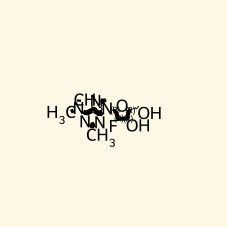 Cc1nc(N(C)C)c2ncn([C@@H]3O[C@H](CO)[C@@H](O)[C@H]3F)c2n1